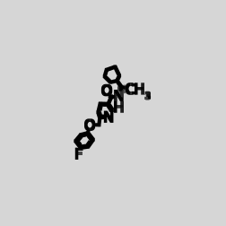 C[C@@H](NC(=O)c1ccc(COc2ccc(F)cc2)nc1)C1CCCCC1